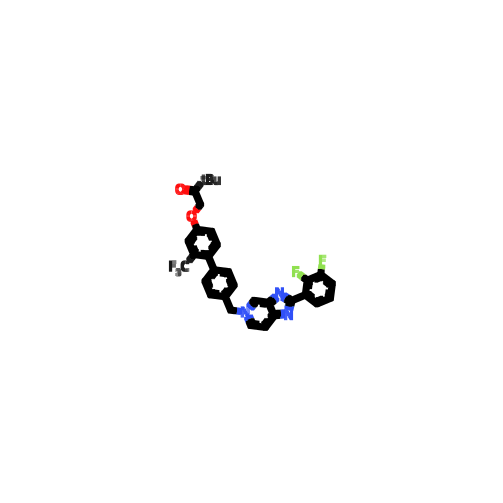 CC(C)(C)C(=O)COc1ccc(-c2ccc(Cn3ccc4nc(-c5cccc(F)c5F)nc-4c3)cc2)c(C(F)(F)F)c1